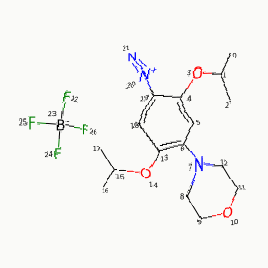 CC(C)Oc1cc(N2CCOCC2)c(OC(C)C)cc1[N+]#N.F[B-](F)(F)F